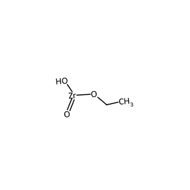 CC[O][Zr](=[O])[OH]